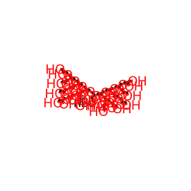 CCCCOCC(COCC(COCC(COCC(COCC(O)CO)OCC(O)CO)OCC(O)COCC(O)CO)OCC(COCC(O)COCC(O)CO)OCC(O)CO)OCC(COCC(COCC(COCC(O)CO)OCC(O)CO)OCC(O)COCC(O)CO)OCC(COCC(O)CO)OCC(O)CO